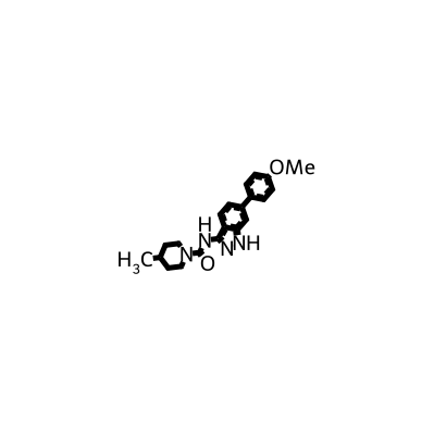 COc1ccc(-c2ccc3c(NC(=O)N4CCC(C)CC4)n[nH]c3c2)cc1